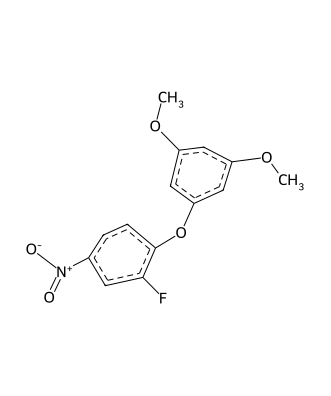 COc1cc(OC)cc(Oc2ccc([N+](=O)[O-])cc2F)c1